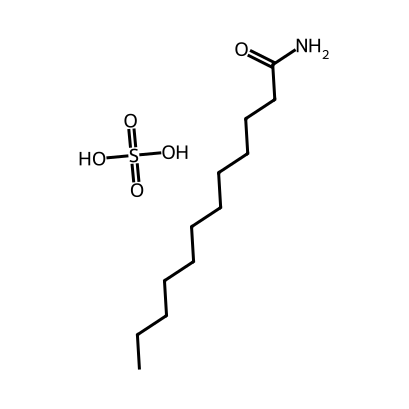 CCCCCCCCCCCC(N)=O.O=S(=O)(O)O